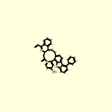 C=CC1=NC2CC(=C)[n+]3ccc(C(C)(C)C)cc3-c3c(ccc4c3sc3cccc(-c5ccccc5)c34)CCC2c2ccccc21